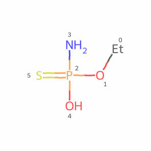 CCOP(N)(O)=S